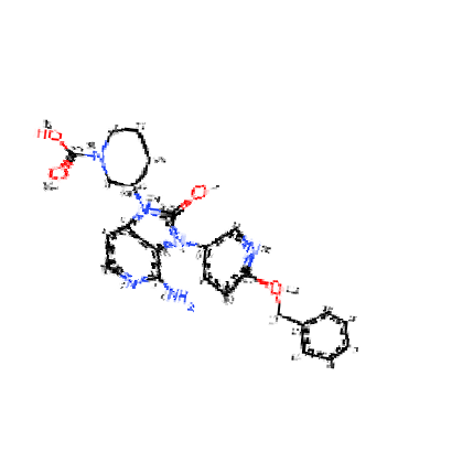 Nc1nccc2c1n(-c1ccc(OCc3ccccc3)nc1)c(=O)n2[C@@H]1CCCN(C(=O)O)C1